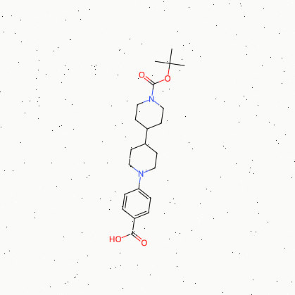 CC(C)(C)OC(=O)N1CCC(C2CCN(c3ccc(C(=O)O)cc3)CC2)CC1